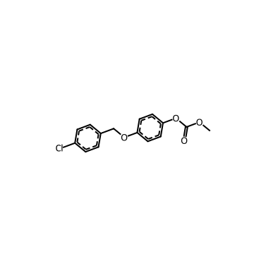 COC(=O)Oc1ccc(OCc2ccc(Cl)cc2)cc1